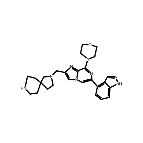 c1cc(-c2cn3cc(CN4CCC5(CCNCC5)C4)nc3c(N3CCOCC3)n2)c2cn[nH]c2c1